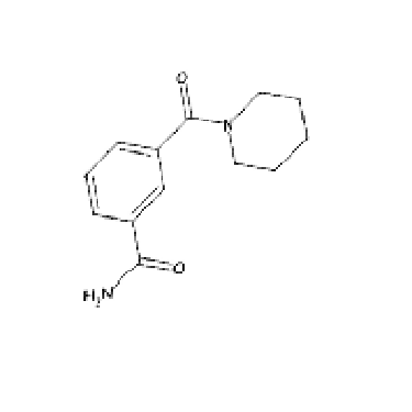 NC(=O)c1cccc(C(=O)N2CCCCC2)c1